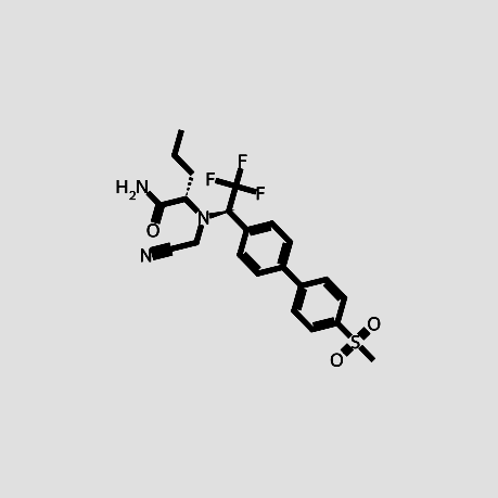 CCC[C@@H](C(N)=O)N(CC#N)[C@H](c1ccc(-c2ccc(S(C)(=O)=O)cc2)cc1)C(F)(F)F